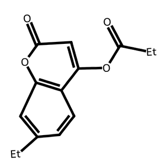 CCC(=O)Oc1cc(=O)oc2cc(CC)ccc12